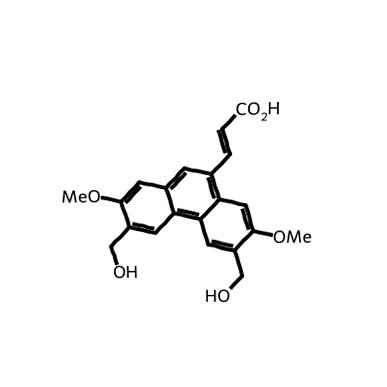 COc1cc2cc(/C=C/C(=O)O)c3cc(OC)c(CO)cc3c2cc1CO